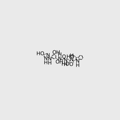 CC(NC(CNC(=O)CNC(O)c1cc(O)cc(NC2=NCC(O)CN2)c1)C(=O)O)c1[nH]c2ccccc2c1CO